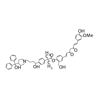 COc1cc(/C=C/C(=O)CC(=O)/C=C/c2ccc(OC(=O)C(C)(C)c3ccc(C(O)CCCN4CCC(C(O)(c5ccccc5)c5ccccc5)CC4)cc3)c(CO)c2)ccc1O